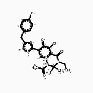 CCN1C(=O)c2c(O)c(=O)c(-c3nnc(Cc4ccc(F)cc4)s3)cn2N(C(C)=O)C1(C)C